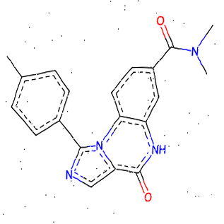 Cc1ccc(-c2ncc3c(=O)[nH]c4cc(C(=O)N(C)C)ccc4n23)cc1